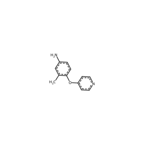 Cc1cc(N)ccc1Oc1ccncc1